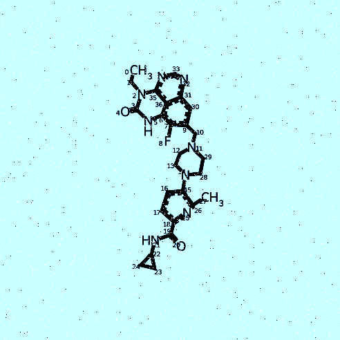 CCN1C(=O)Nc2c(F)c(CN3CCN(c4ccc(C(=O)NC5CC5)nc4C)CC3)cc3ncnc1c23